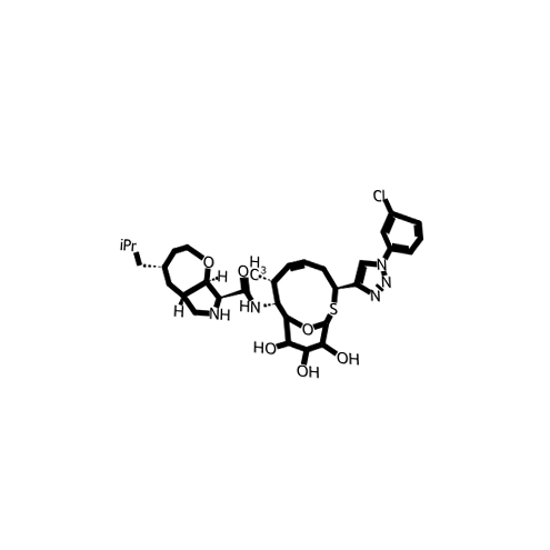 CC(C)C[C@@H]1CCO[C@@H]2[C@H](CN[C@@H]2C(=O)N[C@H]2C3OC(S[C@H](c4cn(-c5cccc(Cl)c5)nn4)C/C=C\[C@H]2C)C(O)C(O)C3O)C1